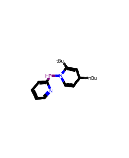 CCCCC1C=CN(Pc2ccccn2)C(C(C)(C)C)=C1